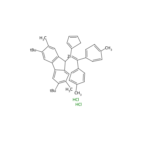 Cc1ccc([C](c2ccc(C)cc2)=[Zr]([C]2=CC=CC2)[CH]2c3cc(C)c(C(C)(C)C)cc3-c3cc(C(C)(C)C)c(C)cc32)cc1.Cl.Cl